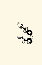 CNC(=O)c1cc(Oc2ccc3nc(NCC(C)C)oc3c2)ccn1